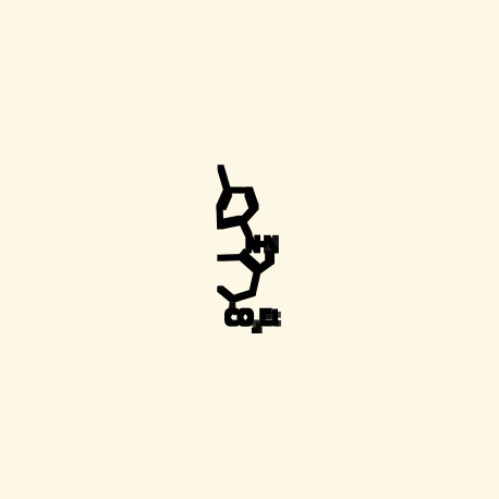 CCOC(=O)[C@H](C)Cc1cnn(-c2ccc(C)cc2)c1C